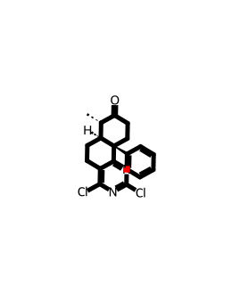 C[C@@H]1C(=O)CC[C@]2(c3ccccc3)c3nc(Cl)nc(Cl)c3CC[C@@H]12